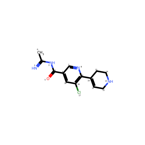 CC(=N)NC(=O)c1cnc(C2=CCNCC2)c(Cl)c1